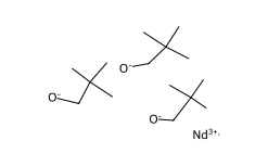 CC(C)(C)C[O-].CC(C)(C)C[O-].CC(C)(C)C[O-].[Nd+3]